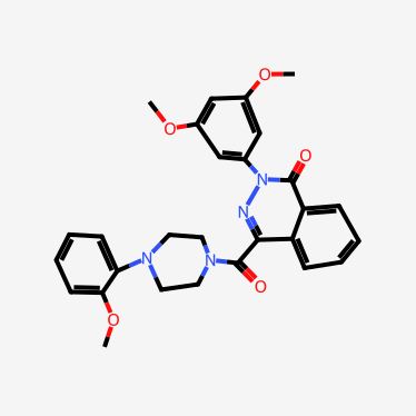 COc1cc(OC)cc(-n2nc(C(=O)N3CCN(c4ccccc4OC)CC3)c3ccccc3c2=O)c1